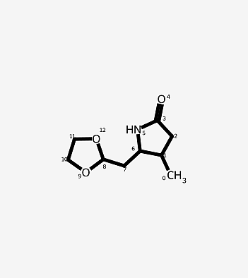 CC1CC(=O)NC1CC1OCCO1